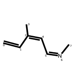 C=C/C(C)=C\C=N/C